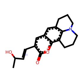 CC(O)/C=C/c1cc2cc3c4c(c2oc1=O)CCCN4CCC3